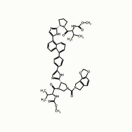 COC(=O)N[C@H](C(=O)N1CN(C(=O)N2Cc3ccc4c(c3C2)OCO4)C[C@H]1c1ncc(-c2ccc(-c3cccc4c(-c5cnc([C@@H]6CCCN6C(=O)[C@@H](NC(=O)OC)C(C)C)[nH]5)cccc34)cc2)[nH]1)C(C)C